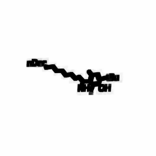 CCCCCCCCCCCCCCCCCCC(N)c1c(C)cc(C(C)(C)C)c(O)c1C